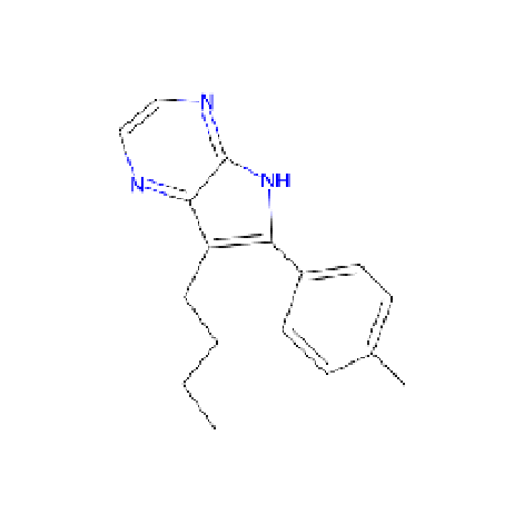 CCCCc1c(-c2ccc(C)cc2)[nH]c2nccnc12